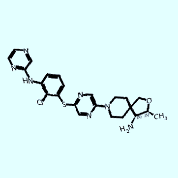 C[C@@H]1OCC2(CCN(c3cnc(Sc4cccc(Nc5cnccn5)c4Cl)cn3)CC2)[C@@H]1N